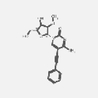 COC1C(O)[C@@H](CO)O[C@H]1n1cc(C#Cc2ccccc2)c(N)nc1=O